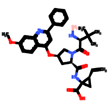 BN[C@H](C(=O)N1C[C@H](Oc2cc(-c3ccccc3)nc3cc(OC)ccc23)C[C@H]1C(=O)N[C@]1(C(=O)O)C[C@@H]1C=C)C(C)(C)C